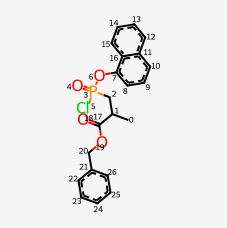 CC(CP(=O)(Cl)Oc1cccc2ccccc12)C(=O)OCc1ccccc1